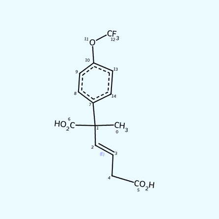 CC(/C=C/CC(=O)O)(C(=O)O)c1ccc(OC(F)(F)F)cc1